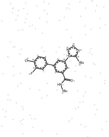 CC(C)(C)NC(=O)c1cc(-c2ccc(Cl)c(F)c2)cc(-n2nnnc2C(C)(C)C)c1